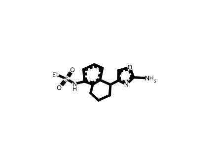 CCS(=O)(=O)Nc1cccc2c1CCCC2c1coc(N)n1